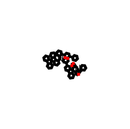 c1ccc(-c2ccc(-c3ccccc3N(c3cccc(-c4ccc5c(c4)C4(c6ccccc6-5)c5ccccc5-n5c6ccccc6c6cccc4c65)c3)c3cccc4c3-c3ccccc3C43c4ccccc4-c4ccccc43)cc2)cc1